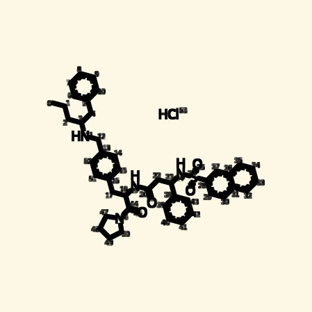 CCCC(Cc1ccccc1)NCc1ccc(CC(NC(=O)CC(NS(=O)(=O)c2ccc3ccccc3c2)c2ccccc2)C(=O)N2CCCC2)cc1.Cl